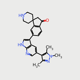 Cc1nn(C)c(C)c1-c1cnc2[nH]cc(-c3ccc4c(c3)C3(CCNCC3)CC4=O)c2c1